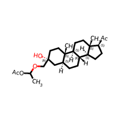 CC(=O)OC(C)OC[C@@]1(O)CC[C@@]2(C)[C@@H](CC[C@@H]3[C@@H]2CC[C@]2(C)[C@@H](C(C)=O)CC[C@@H]32)C1